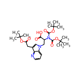 CC(C)(C)OC(=O)Cc1cn(CC(C(=O)O)N(C(=O)OC(C)(C)C)C(=O)OC(C)(C)C)c2cccnc12